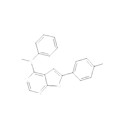 CCN(c1ccccc1)c1ncnc2[nH]c(-c3ccc(O)cc3)cc12